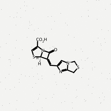 O=C(O)C1=CS[C@@H]2C(=CC3=C[N+]4CSCC4=N3)C(=O)N12